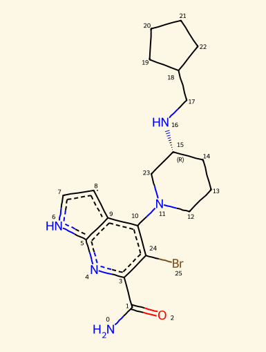 NC(=O)c1nc2[nH]c[c]c2c(N2CCC[C@@H](NCC3CCCC3)C2)c1Br